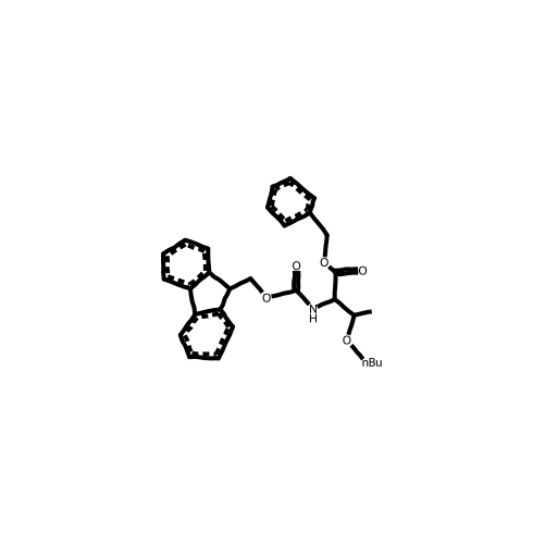 CCCCOC(C)C(NC(=O)OCC1c2ccccc2-c2ccccc21)C(=O)OCc1ccccc1